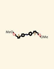 COCOCCc1ccc(-c2ccc(/C=C/c3ccc(-c4ccc(CCOCOC)s4)cc3)cc2)s1